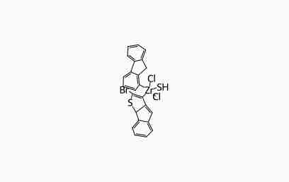 [SH][Zr]([Cl])([Cl])([C]1=C(Br)SC2C1=Cc1ccccc12)[c]1cccc2c1Cc1ccccc1-2